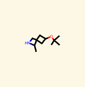 CC1NCC12CC(OC(C)(C)C)C2